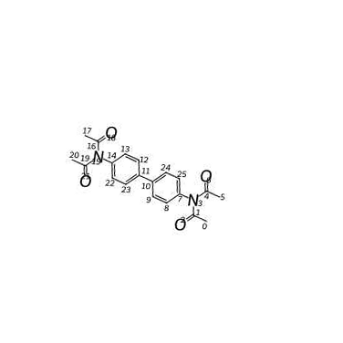 CC(=O)N(C(C)=O)c1ccc(-c2ccc(N(C(C)=O)C(C)=O)cc2)cc1